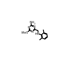 CSc1nc(N)nc(CNc2c(C)cccc2C)n1